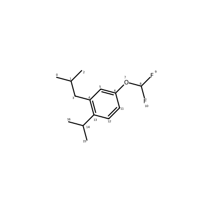 CC(C)Cc1cc(OC(F)F)ccc1C(C)C